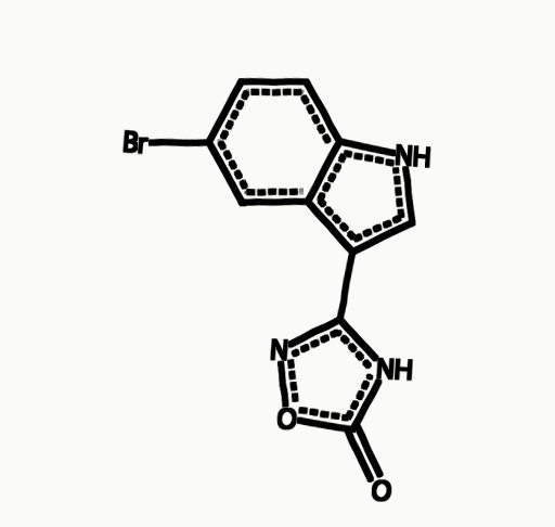 O=c1[nH]c(-c2c[nH]c3ccc(Br)cc23)no1